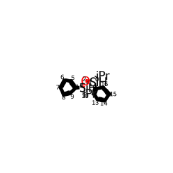 CC(C)[SiH](O[SiH](c1ccccc1)C(C)C)c1ccccc1